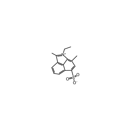 CC[N+]1=C(C)c2cccc3c(S(=O)(=O)[O-])cc(C)c1c23